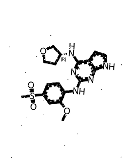 COc1cc(S(C)(=O)=O)ccc1Nc1nc(N[C@@H]2CCOC2)c2cc[nH]c2n1